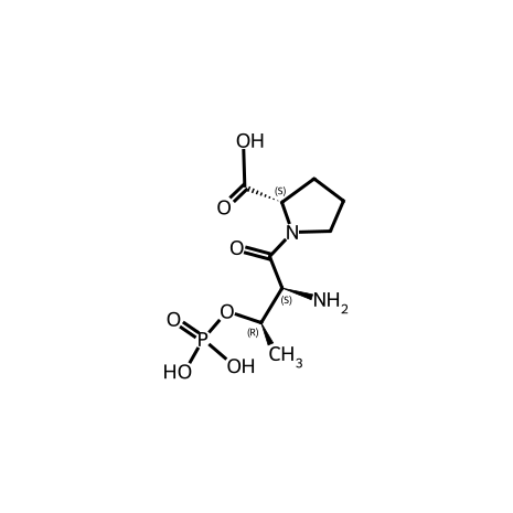 C[C@@H](OP(=O)(O)O)[C@H](N)C(=O)N1CCC[C@H]1C(=O)O